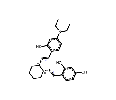 CCN(CC)c1ccc(/C=N/[C@@H]2CCCC[C@H]2/N=C/c2ccc(O)cc2O)c(O)c1